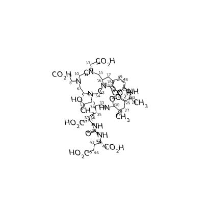 C=C(O)CN1CCN(CC(=O)O)CCN(CC(=O)O)CC(Cc2ccc(N[C@H](C)C(=O)C[C@H](C)C(=O)NCCCC[C@H](NC(=O)N[C@@H](CCC(=O)O)C(=O)O)C(=O)O)cc2)N(CC(=O)O)CC1